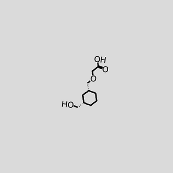 O=C(O)COC[C@@H]1CCC[C@H](CO)C1